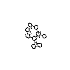 c1ccc(-c2nc(-c3cccc(-c4ccccn4)c3)cc(-c3cc(-c4ccnc5c4sc4ccccc45)cc(-n4c5ccccc5c5ccccc54)c3)n2)cc1